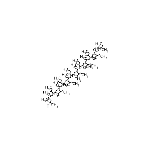 CCC(C)NCC(=O)N(CC(=O)N(CC(=O)N(CC(=O)N(CC(=O)N(CC(=O)N(CC(=O)N(CC(=O)N(CC(=O)N(CC(=O)N(CC(=O)N(C)CC(C)O)C(C)CC)C(C)CC)C(C)CC)C(C)CC)C(C)CC)C(C)CC)C(C)CC)C(C)CC)C(C)CC)C(C)CC